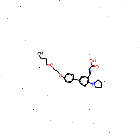 CCCCOCCOc1ccc(-c2ccc(N3CCCC3)c(/C=C/C(=O)O)c2)cc1